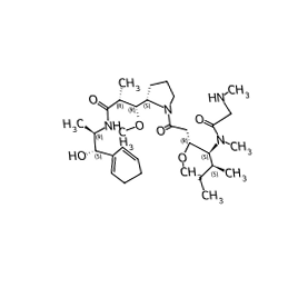 CC[C@H](C)[C@@H]([C@@H](CC(=O)N1CCC[C@H]1[C@H](OC)[C@@H](C)C(=O)N[C@H](C)[C@@H](O)C1=CCCC=C1)OC)N(C)C(=O)CNC